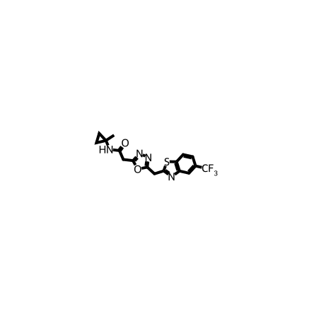 CC1(NC(=O)Cc2nnc(Cc3nc4cc(C(F)(F)F)ccc4s3)o2)CC1